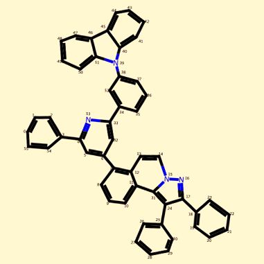 c1ccc(-c2cc(-c3cccc4c3ccn3nc(-c5ccccc5)c(-c5ccccc5)c43)cc(-c3cccc(-n4c5ccccc5c5ccccc54)c3)n2)cc1